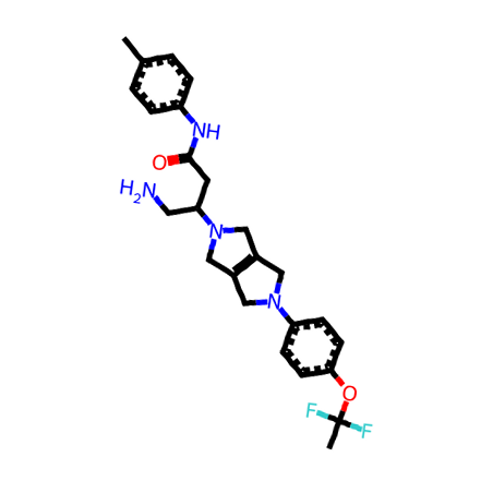 Cc1ccc(NC(=O)CC(CN)N2CC3=C(CN(c4ccc(OC(C)(F)F)cc4)C3)C2)cc1